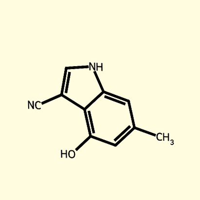 Cc1cc(O)c2c(C#N)c[nH]c2c1